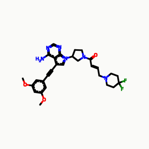 COc1cc(C#Cc2cn(C3CCN(C(=O)C=CCN4CCC(F)(F)CC4)C3)c3ncnc(N)c23)cc(OC)c1